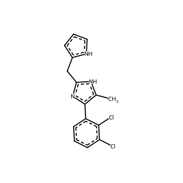 Cc1[nH]c(Cc2ccc[nH]2)nc1-c1cccc(Cl)c1Cl